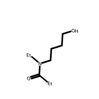 CCC(=O)N(CC)CCCCO